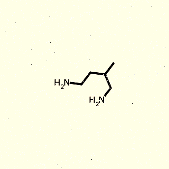 CC(CN)CCN